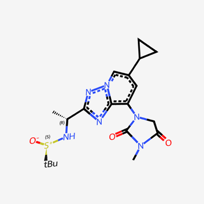 C[C@@H](N[S@+]([O-])C(C)(C)C)c1nc2c(N3CC(=O)N(C)C3=O)cc(C3CC3)cn2n1